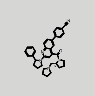 N#Cc1ccc(-c2ccc3nc(N4CCCC4c4ccccc4)cc(C(=O)N4CCC[C@H]4CN4CCCC4)c3c2)cc1